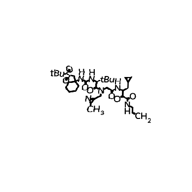 C=CCNC(=O)C(=O)C(CC1CC1)NC(=O)CN(CC1=NC1C)C(=O)[C@@H](NC(=O)NC1(CS(=O)(=O)C(C)(C)C)CCCCC1)C(C)(C)C